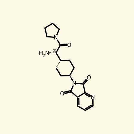 N[C@H](C(=O)N1CCCC1)[C@H]1CC[C@H](N2C(=O)c3cccnc3C2=O)CC1